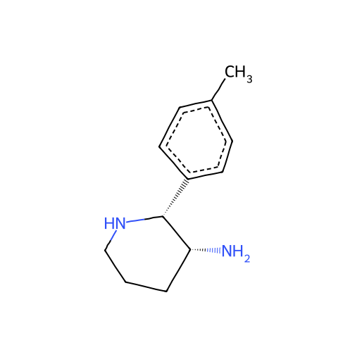 Cc1ccc([C@H]2NCCC[C@H]2N)cc1